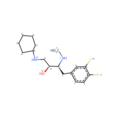 O=C(O)N[C@@H](Cc1ccc(F)c(F)c1)[C@@H](O)CNC1CCCCC1